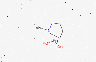 CCCN1CCCCC1.OBO